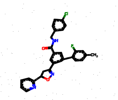 Cc1ccc(-c2cc(C(=O)NCc3ccc(Cl)cc3)cc(C3=NOC(c4ccccn4)C3)c2)c(F)c1